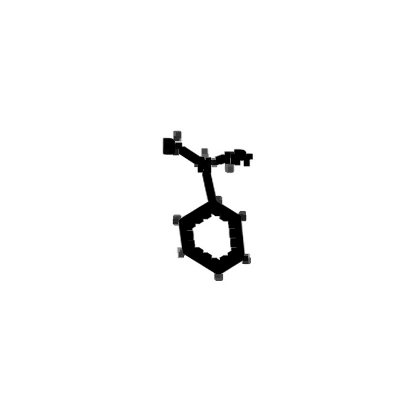 CCC[N+](Br)c1ccccc1